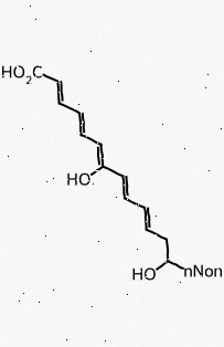 CCCCCCCCCC(O)CC=CC=CC(O)=CC=CC=CC(=O)O